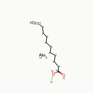 CCCCCCCCCCCCCCCCCC(=O)OF.[AlH3]